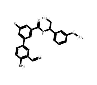 COc1cccc(C(CO)NC(=O)c2cc(F)cc(-c3ccc(N)c(C=N)c3)c2)c1